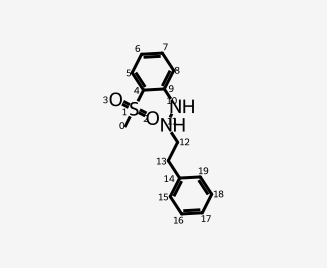 CS(=O)(=O)c1ccccc1NNCCc1ccccc1